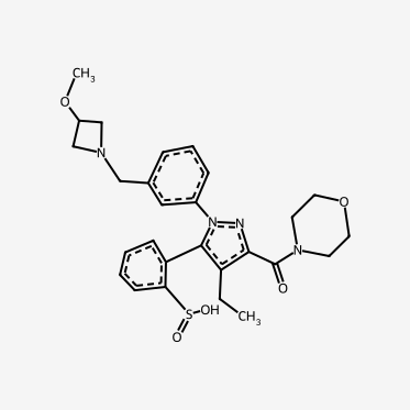 CCc1c(C(=O)N2CCOCC2)nn(-c2cccc(CN3CC(OC)C3)c2)c1-c1ccccc1S(=O)O